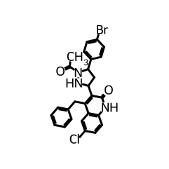 CC(=O)N1NC(c2c(Cc3ccccc3)c3cc(Cl)ccc3[nH]c2=O)CC1c1ccc(Br)cc1